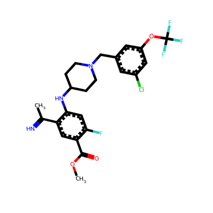 COC(=O)c1cc(C(C)=N)c(NC2CCN(Cc3cc(Cl)cc(OC(F)(F)F)c3)CC2)cc1F